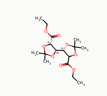 CCOC(=O)C1OC(C)(C)O[C@H]1[C@H]1OC(C)(C)O[C@@H]1C(=O)OCC